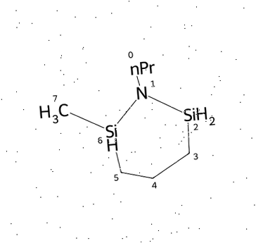 CCCN1[SiH2]CCC[SiH]1C